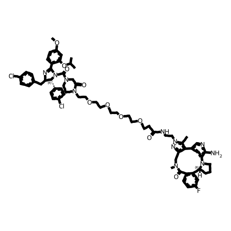 COc1ccc(C2=NC(Cc3ccc(Cl)cc3)[C@@H](c3ccc(Cl)cc3)N2C(=O)N2CCN(CCOCCOCCOCCOCCC(=O)NCCn3nc4c(c3C)-c3cnc(N)c(c3)N3CCC[C@@H]3c3cc(F)ccc3C(=O)N(C)C4)C(=O)C2)c(OC(C)C)c1